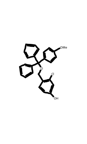 COc1ccc(C(OCc2ccc(O)cc2Cl)(c2ccccc2)c2ccccc2)cc1